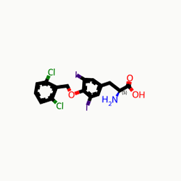 N[C@@H](Cc1cc(I)c(OCc2c(Cl)cccc2Cl)c(I)c1)C(=O)O